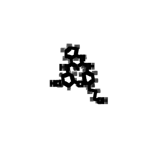 Cc1cccc(Nc2nc(Nc3ccc(CCCO)cc3)nc3ccccc23)c1.Cl